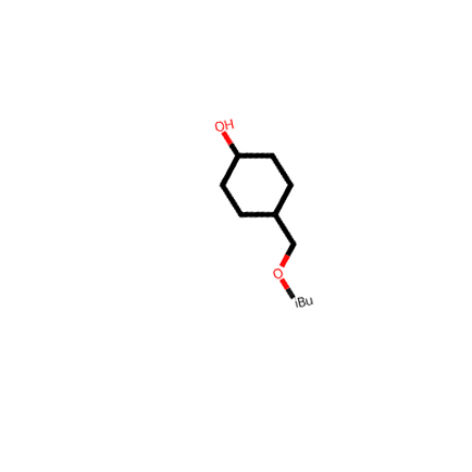 CCC(C)OCC1CCC(O)CC1